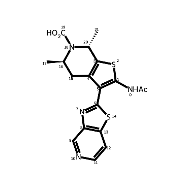 CC(=O)Nc1sc2c(c1-c1nc3cnccc3s1)C[C@@H](C)N(C(=O)O)[C@@H]2C